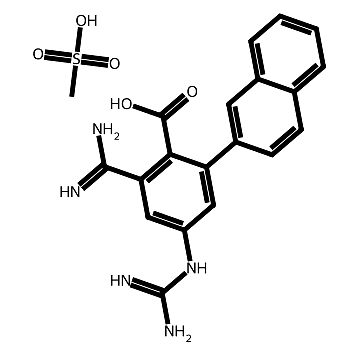 CS(=O)(=O)O.N=C(N)Nc1cc(C(=N)N)c(C(=O)O)c(-c2ccc3ccccc3c2)c1